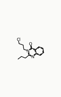 CCCc1nc2ccccc2c(=O)n1CCCCl